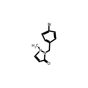 Cn1ccc(=O)n1Cc1ccc(Br)cc1